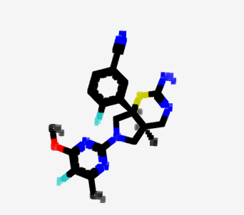 COc1nc(N2C[C@@H]3CN=C(N)S[C@@]3(c3cc(C#N)ccc3F)C2)nc(C)c1F